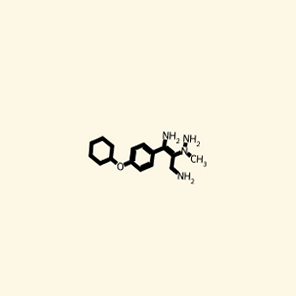 CN(N)/C(CN)=C(\N)c1ccc(OC2CCCCC2)cc1